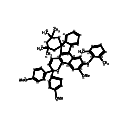 COc1ccc(C2(c3ccc(OC)cc3)C=Cc3c4c(c5cc(Sc6c(C)cccc6C)c(OC)cc5c3O2)-c2ccccc2C42CC(C)(C)CC(C)(C)C2)cc1